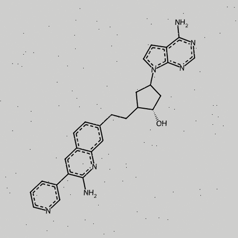 Nc1nc2cc(CCC3CC(n4ccc5c(N)ncnc54)C[C@@H]3O)ccc2cc1-c1cccnc1